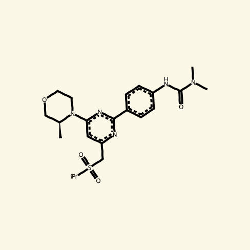 CC(C)S(=O)(=O)Cc1cc(N2CCOC[C@@H]2C)nc(-c2ccc(NC(=O)N(C)C)cc2)n1